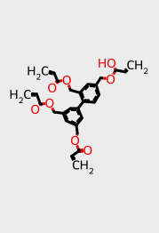 C=CC(=O)OCc1cc(COC(=O)C=C)cc(-c2ccc(COC(O)C=C)cc2COC(=O)C=C)c1